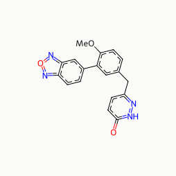 COc1ccc(Cc2ccc(=O)[nH]n2)cc1-c1ccc2nonc2c1